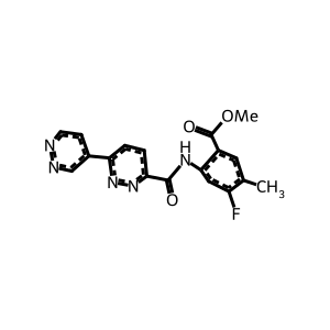 COC(=O)c1cc(C)c(F)cc1NC(=O)c1ccc(-c2ccnnc2)nn1